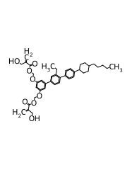 C=C(CO)C(=O)OCOc1cc(OCOC(=O)C(=C)CO)cc(-c2ccc(-c3ccc(C4CCC(CCCCC)CC4)cc3)c(CC)c2)c1